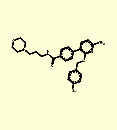 CC(C)(C)c1ccc(COc2nc(N)ccc2-c2ccc(C(=O)NCCCN3CCOCC3)cc2)cc1